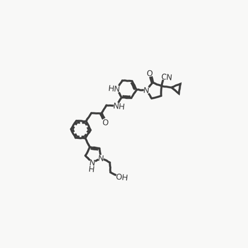 N#CC1(C2CC2)CCN(C2=CCNC(NCC(=O)Cc3cccc(C4=CN(CCO)NC4)c3)=C2)C1=O